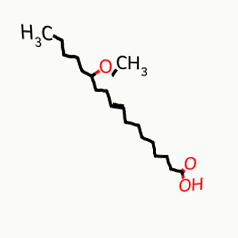 CCCCCC(CCC=CCCCCCCCC(=O)O)OCC